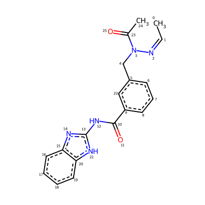 C/C=N\N(Cc1cccc(C(=O)Nc2nc3ccccc3[nH]2)c1)C(C)=O